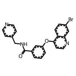 O=C(NCc1ccncc1)c1cccc(Oc2ccnc3cc(Br)ccc23)c1